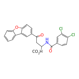 O=C(CC(NC(=O)c1ccc(Cl)c(Cl)c1)C(=O)O)c1ccc2oc3ccccc3c2c1